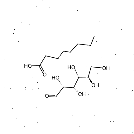 CCCCCCCC(=O)O.O=C[C@H](O)[C@@H](O)[C@H](O)[C@H](O)CO